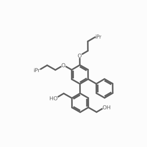 CC(C)CCOc1cc(-c2ccccc2)c(-c2cc(CO)ccc2CO)cc1OCCC(C)C